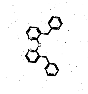 c1ccc(Cc2cccnc2Oc2ncccc2Cc2ccccc2)cc1